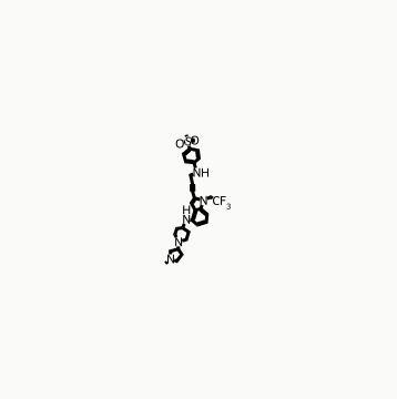 CN1CCC(N2CCC(Nc3cccc4c3cc(C#CCNc3ccc(S(C)(=O)=O)cc3)n4CC(F)(F)F)CC2)C1